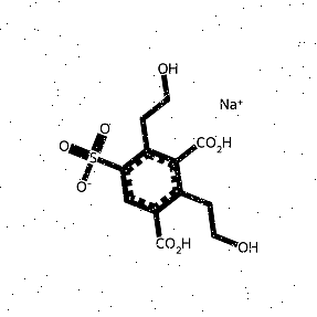 O=C(O)c1cc(S(=O)(=O)[O-])c(CCO)c(C(=O)O)c1CCO.[Na+]